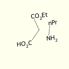 CCCN.CCOC(=O)CC(=O)O